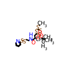 CCSC(=S)SC(CC(C)C(=O)NCCSSc1ccccn1)S(=O)(=O)OCC(C)(C)C